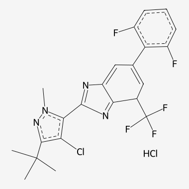 Cl.Cn1nc(C(C)(C)C)c(Cl)c1C1=NC2=CC(c3c(F)cccc3F)=CC(C(F)(F)F)C2=N1